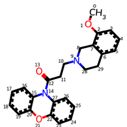 COc1cccc2c1CN(CCC(=O)N1c3ccccc3Oc3ccccc31)CC2